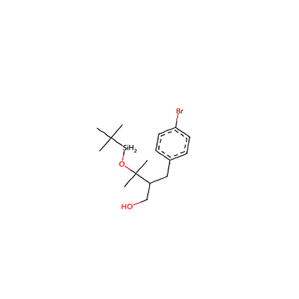 CC(C)(C)[SiH2]OC(C)(C)C(CO)Cc1ccc(Br)cc1